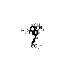 CC1(C)CCC(C)(C)c2cc(CCC=CC(=O)O)ccc21